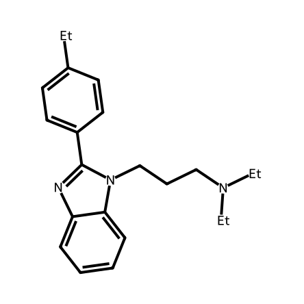 CCc1ccc(-c2nc3ccccc3n2CCCN(CC)CC)cc1